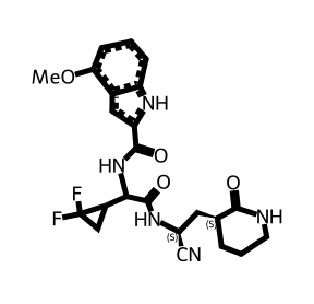 COc1cccc2[nH]c(C(=O)NC(C(=O)N[C@H](C#N)C[C@@H]3CCCNC3=O)C3CC3(F)F)cc12